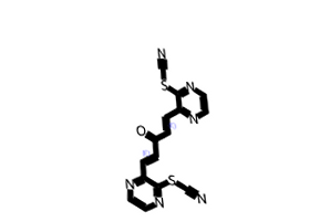 N#CSc1nccnc1/C=C/C(=O)/C=C/c1nccnc1SC#N